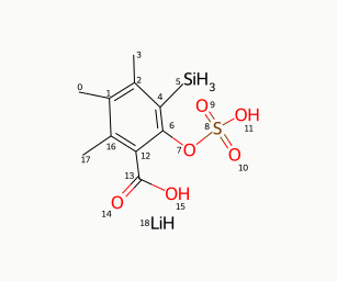 Cc1c(C)c([SiH3])c(OS(=O)(=O)O)c(C(=O)O)c1C.[LiH]